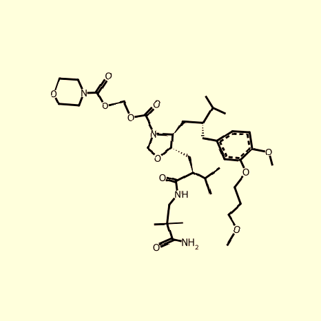 COCCCOc1cc(C[C@H](C[C@H]2[C@H](C[C@H](C(=O)NCC(C)(C)C(N)=O)C(C)C)OCN2C(=O)OCOC(=O)N2CCOCC2)C(C)C)ccc1OC